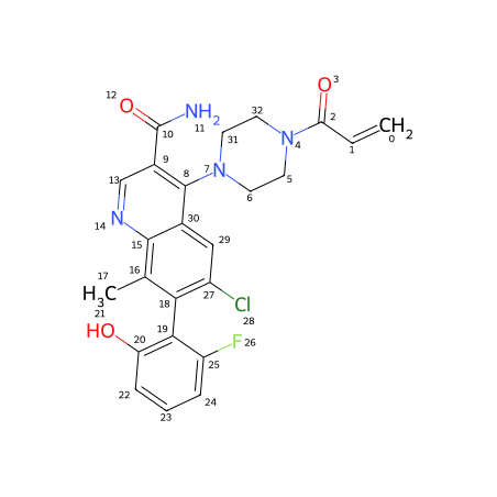 C=CC(=O)N1CCN(c2c(C(N)=O)cnc3c(C)c(-c4c(O)cccc4F)c(Cl)cc23)CC1